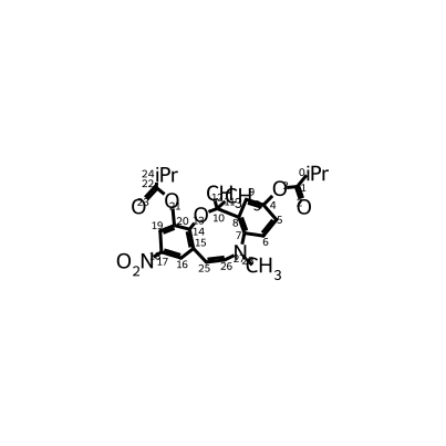 CC(C)C(=O)Oc1ccc2c(c1)C(C)(C)Oc1c(cc([N+](=O)[O-])cc1OC(=O)C(C)C)/C=C\N2C